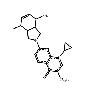 CCOC(=O)c1cn(C2CC2)c2nc(N3CC4C(C)C=CC(N)C4C3)ccc2c1=O